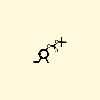 C=Cc1ccc(OC(=O)OC(C)(C)C)cc1C